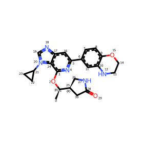 C[C@@H](Oc1nc(-c2ccc3c(c2)NCCO3)cc2ncn(C3CC3)c12)[C@H]1CNC(=O)C1